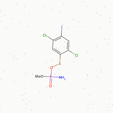 COP(N)(=O)OSc1cc(Cl)c(I)cc1Cl